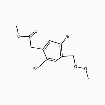 COOCc1cc(Br)c(CC(=O)OC)cc1Br